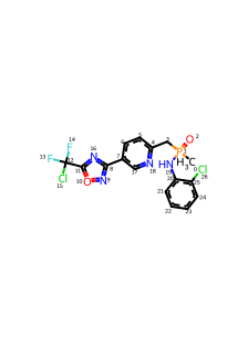 CP(=O)(Cc1ccc(-c2noc(C(F)(F)Cl)n2)cn1)Nc1ccccc1Cl